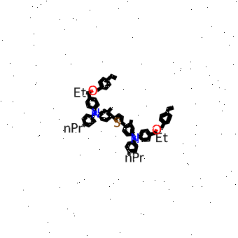 C=Cc1ccc(COC(CC)c2ccc(N(c3ccc(CCC)cc3)c3ccc(-c4ccc(-c5ccc(N(c6ccc(CCC)cc6)c6ccc(C(CC)OCc7ccc(C=C)cc7)cc6)cc5C)s4)c(C)c3)cc2)cc1